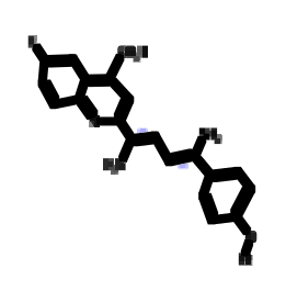 CCOc1ccc(/C(N)=C/C=C(\N)c2cc(C(=O)O)c3cc(F)ccc3n2)cc1